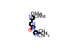 COc1cc(-c2ccc3c(n2)CN(c2ccnc(C(C)(C)C#N)c2)C3=O)cnc1OC